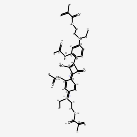 C=C(C)C(=O)OCCN(CC)c1ccc(C2=C(O)/C(=C3C=C/C(=[N+](/CC)CCOC(=O)C(=C)C)C=C/3NC(C)=O)C2=O)c(NC(C)=O)c1